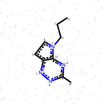 CCCn1ccc2nnc(C)nc21